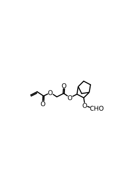 C=CC(=O)OCC(=O)OC1C2CCC(C2)C1OC=O